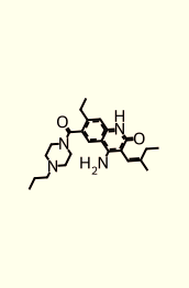 CCCN1CCN(C(=O)c2cc3c(N)c(/C=C(/C)CC)c(=O)[nH]c3cc2CC)CC1